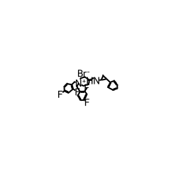 Fc1ccc(C[N+]2(Cc3ccc(F)cc3F)CCC(CNC3CC3c3ccccc3)CC2)c(F)c1.[Br-]